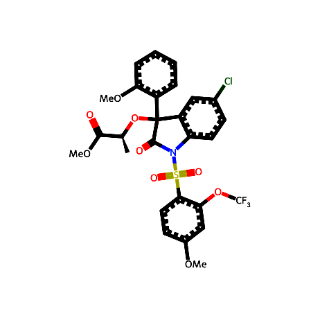 COC(=O)[C@H](C)OC1(c2ccccc2OC)C(=O)N(S(=O)(=O)c2ccc(OC)cc2OC(F)(F)F)c2ccc(Cl)cc21